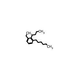 CCCCCCc1[c]ccc(CC)c1CCCC